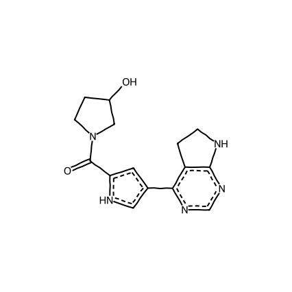 O=C(c1cc(-c2ncnc3c2CCN3)c[nH]1)N1CCC(O)C1